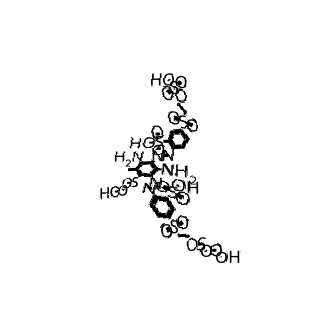 Cc1c(N)c(/N=N/c2ccc(S(=O)(=O)CCOS(=O)(=O)O)cc2S(=O)(=O)O)c(N)c(/N=N/c2ccc(S(=O)(=O)CCOSOOO)cc2S(=O)(=O)O)c1SOOO